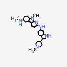 CNC1CCc2c(c3ccc(NC4=CC5NC=C(C6CCN(C)CC6)C5C=C4)nc3n2C)C1